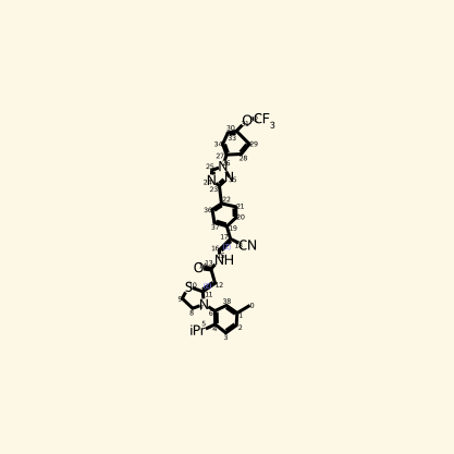 Cc1ccc(C(C)C)c(N2CCS/C2=C\C(=O)N/C=C(\C#N)c2ccc(-c3ncn(-c4ccc(OC(F)(F)F)cc4)n3)cc2)c1